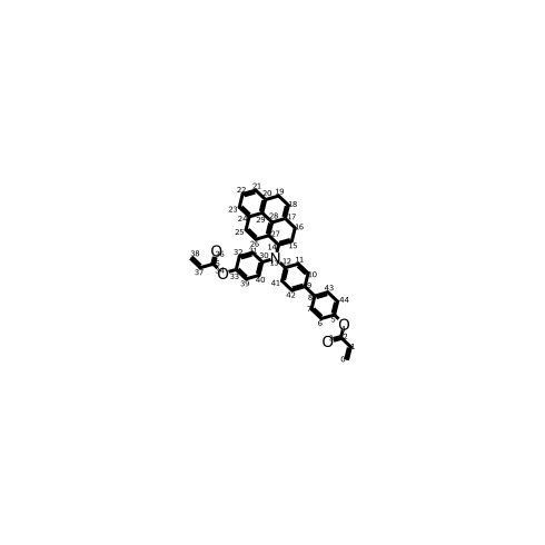 C=CC(=O)Oc1ccc(-c2ccc(N(C3=CCC4=CCc5cccc6ccc3c4c56)c3ccc(OC(=O)C=C)cc3)cc2)cc1